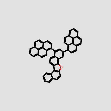 c1ccc2c(c1)ccc1oc3c4cc(-c5ccc6ccc7cccc8ccc5c6c78)cc(-c5ccc6ccc7cccc8ccc5c6c78)c4ccc3c12